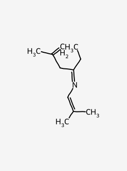 C=C(C)C/C(CC)=N\C=C(C)C